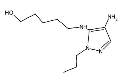 CCCn1ncc(N)c1NCCCCCO